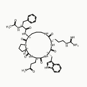 CC(=O)N[C@@H](Cc1ccccc1)C(=O)N[C@H]1CCCNC(=O)[C@H](CCCNC(=N)N)NC(=O)[C@H](Cc2c[nH]c3ccccc23)NC(=O)[C@@H](CCC(N)=O)NC(=O)[C@@H]2CCCN2C1=O